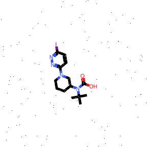 CC(C)(C)N(C(=O)O)C1CCCN(c2ccc(I)nn2)C1